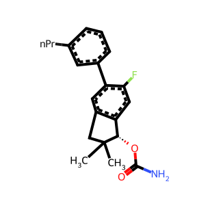 CCCc1cccc(-c2cc3c(cc2F)[C@H](OC(N)=O)C(C)(C)C3)c1